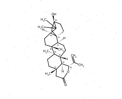 C=C(C)[C@@H]1OC(=O)C[C@]2(C)CC[C@]3(C)[C@H](CC[C@@H]4[C@]56CC[C@@](O)(OC5)C(C)(C)[C@@H]6CC[C@]43C)[C@@H]12